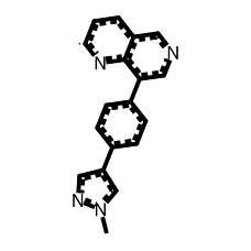 Cn1cc(-c2ccc(-c3cncc4cc[c]nc34)cc2)cn1